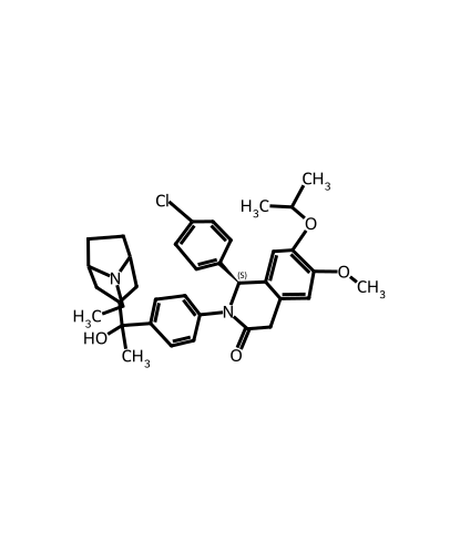 CCN1C2CCC1CC(C(C)(O)c1ccc(N3C(=O)Cc4cc(OC)c(OC(C)C)cc4[C@@H]3c3ccc(Cl)cc3)cc1)C2